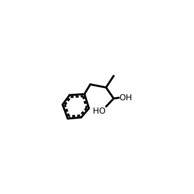 CC(Cc1ccccc1)C(O)O